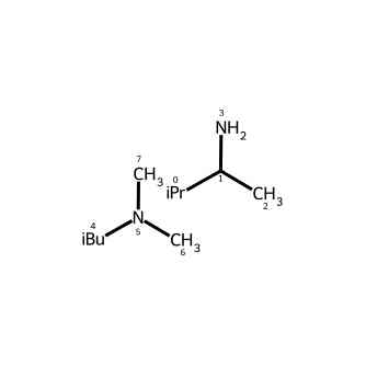 CC(C)C(C)N.CCC(C)N(C)C